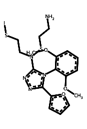 COc1cccc(OC)c1-n1c(-c2ccco2)nnc1N(CCSI)SCCN